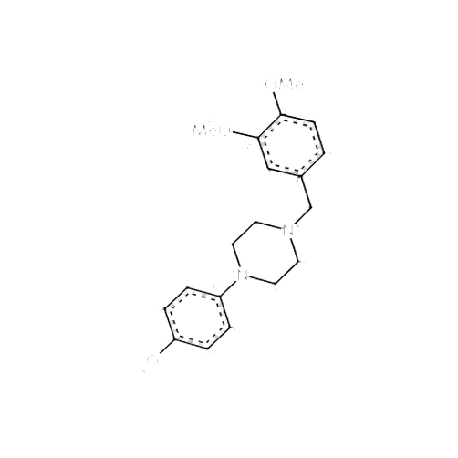 COc1ccc(CN2CCN(c3ccc([O])cc3)CC2)cc1OC